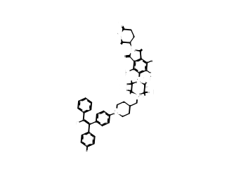 [2H]C1([2H])N(CC2CCN(c3ccc(C(=C(CC)c4ccccc4)c4ccc(O)cc4)cc3)CC2)C([2H])([2H])C([2H])([2H])N(c2c(F)c(F)c3c(c2F)C(=O)N(C2CCC(=O)NC2=O)C3=O)C1([2H])[2H]